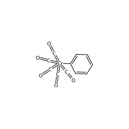 O=[C]=[Cr](=[C]=O)(=[C]=O)(=[C]=O)(=[C]=O)[c]1ccccc1